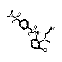 CC(C)CCN(C)c1c(Cl)cccc1NS(=O)(=O)c1ccc(S(=O)(=O)N(C)C)cc1